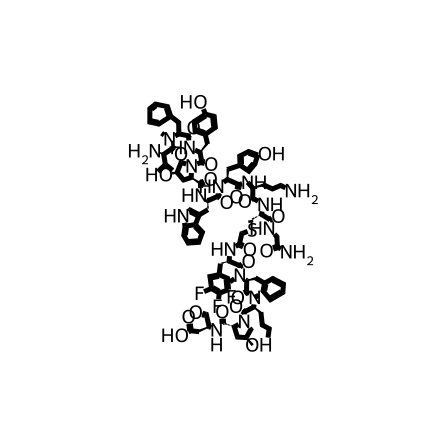 CCCC[C@@H](C(=O)N1C[C@@H](O)C[C@@H]1C(=O)N[C@H](C=O)CC(=O)O)N(C)C(=O)[C@H](Cc1ccccc1)N(C)C(=O)[C@H](Cc1cc(F)c(F)c(F)c1)NC(=O)CSC[C@H](NC(=O)[C@H](CCCN)NC(=O)[C@H](Cc1ccc(O)cc1)NC(=O)[C@H](Cc1c[nH]c2ccccc12)NC(=O)[C@H]1C[C@@H](O)CN1C(=O)[C@H](Cc1ccc(O)cc1)NC(=O)C(Cc1ccccc1)N(C)C(=O)[C@@H](N)C(C)C)C(=O)NCC(N)=O